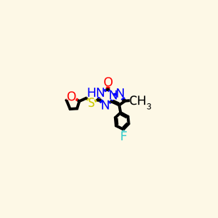 Cc1nn2c(=O)[nH]c(SCC3CCCO3)nc2c1-c1ccc(F)cc1